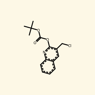 CC(C)(C)OC(=O)Oc1nc2ccccc2cc1CCl